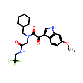 COc1ccc2c(C(=O)C(=O)N(CC(=O)NCC(F)(F)F)CC3CCCCC3)c[nH]c2c1